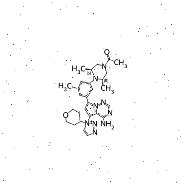 CC(=O)N1C[C@@H](C)N(c2cc(C)cc(-c3cc([N+]4(C5CCOCC5)C=CN=N4)c4c(N)ncnn34)c2)[C@@H](C)C1